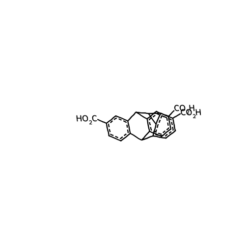 O=C(O)c1ccc2c(c1)C1c3cc(C(=O)O)ccc3C2c2ccc(C(=O)O)c3c2C31